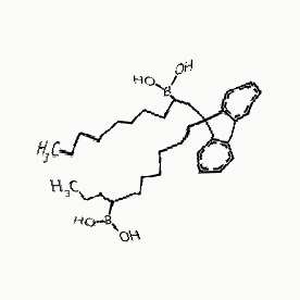 CCCCCCCCC(CC1(CCCCCCC(CCC)B(O)O)c2ccccc2-c2ccccc21)B(O)O